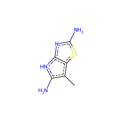 Cc1c(N)[nH]c2nc(N)sc12